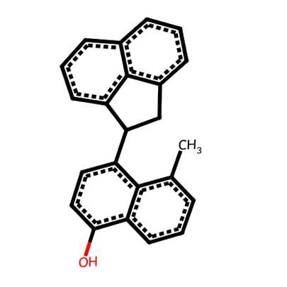 Cc1cccc2c(O)ccc(C3Cc4cccc5cccc3c45)c12